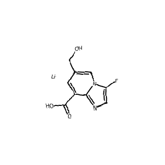 O=C(O)c1cc(CO)cn2c(F)cnc12.[Li]